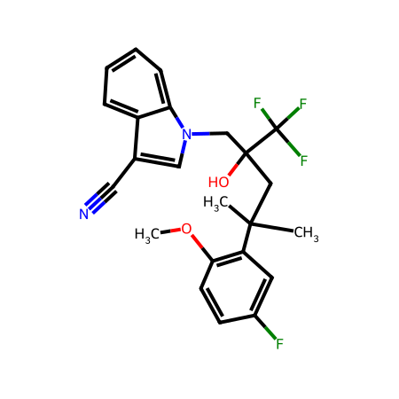 COc1ccc(F)cc1C(C)(C)CC(O)(Cn1cc(C#N)c2ccccc21)C(F)(F)F